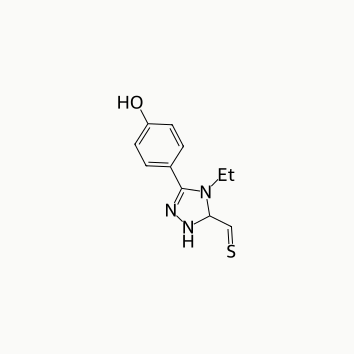 CCN1C(c2ccc(O)cc2)=NNC1C=S